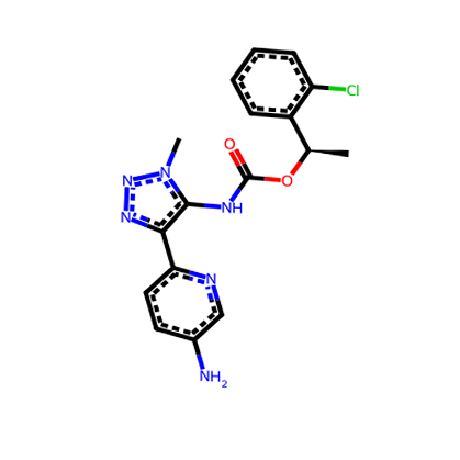 C[C@@H](OC(=O)Nc1c(-c2ccc(N)cn2)nnn1C)c1ccccc1Cl